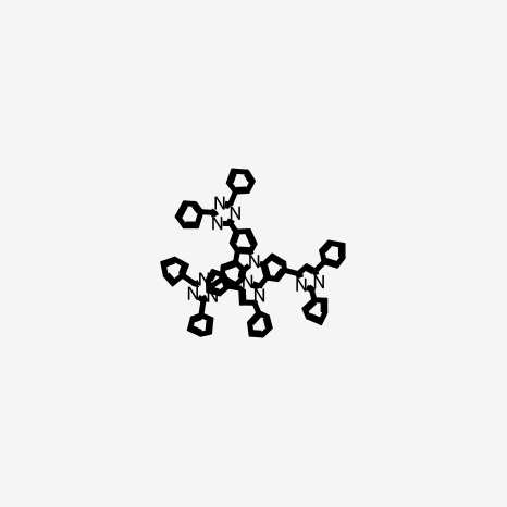 c1ccc(-c2cc(-c3ccc(-n4c5ccc(-c6nc(-c7ccccc7)nc(-c7ccccc7)n6)cc5c5cc(-c6nc(-c7ccccc7)nc(-c7ccccc7)n6)ccc54)c(-c4nc(-c5ccccc5)cc(-c5ccccc5)n4)c3)nc(-c3ccccc3)n2)cc1